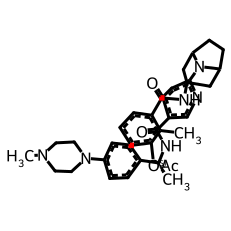 CC(=O)Oc1cccc(C(=O)NC2CC3CCC(C2)N3c2ccc(C(=O)N[C@@H](C)c3ccc(N4CCN(C)CC4)cc3)cn2)c1C